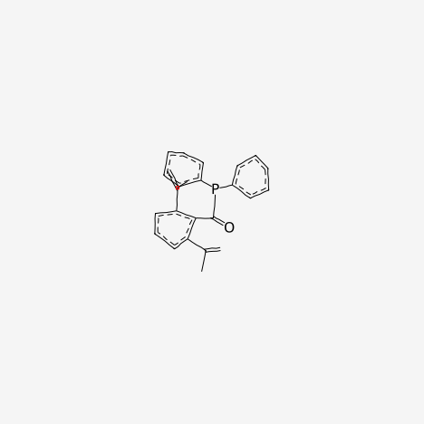 C=C(C)c1cccc(C(=C)C)c1C(=O)P(c1ccccc1)c1ccccc1